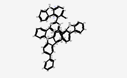 C=C(C)/C(c1nc(-c2ccccc2-n2c3ccccc3c3cc(-c4ccccc4)ccc32)nc(-c2cccc3c2oc2ccccc23)n1)=c1\c(=C/C)sc2ccccc12